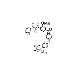 COc1cc(C(=O)N2CCN(Cc3ccc(C(O)(C(F)(F)F)C(F)(F)F)cc3)CC2)ccc1NC(=O)Nc1ccnnc1